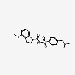 COc1cccc2c1CCC2C(=O)NS(=O)(=O)c1ccc(CN(C)C)cc1